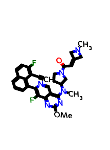 C#Cc1c(F)ccc2cccc(-c3ncc4c(N(C)C5CCN(C(=O)C=C6CN(C)C6)C5)nc(OC)nc4c3F)c12